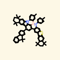 Cc1ccc(N2B3c4cc(C)ccc4-n4c5cc6c(cc5c5c(-c7ccc8c(c7)C(C)(C)c7ccccc7-8)cc(c3c54)-c3cc4c(cc32)sc2cc3c(cc24)C(C)(C)CCC3(C)C)C(C)(C)CCC6(C)C)cc1